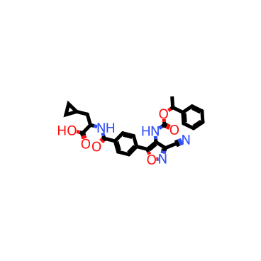 CC(OC(=O)Nc1c(C#N)noc1-c1ccc(C(=O)NC(CC2CC2)C(=O)O)cc1)c1ccccc1